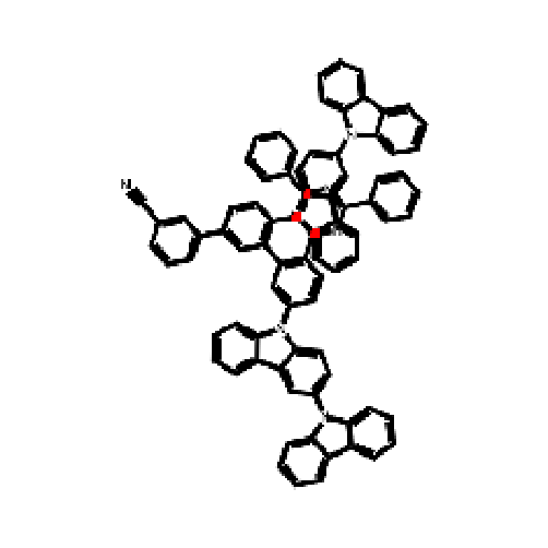 N#Cc1cccc(-c2ccc(-n3c4ccccc4c4cc(-n5c6ccccc6c6ccccc65)ccc43)c(-c3cc(-n4c5ccccc5c5cc(-n6c7ccccc7c7ccccc76)ccc54)ccc3-c3nc(-c4ccccc4)nc(-c4ccccc4)n3)c2)c1